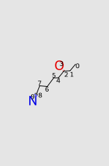 CCC(=O)CCCCC#N